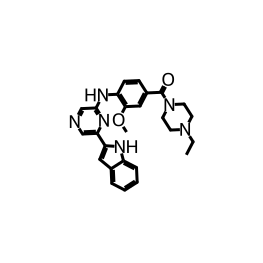 CCN1CCN(C(=O)c2ccc(Nc3cncc(-c4cc5ccccc5[nH]4)n3)c(OC)c2)CC1